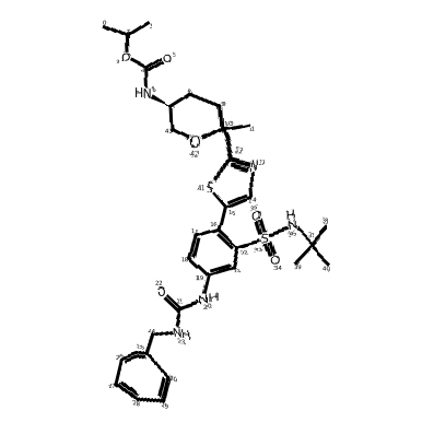 CC(C)OC(=O)N[C@H]1CCC(C)(c2ncc(-c3ccc(NC(=O)NCc4ccccc4)cc3S(=O)(=O)NC(C)(C)C)s2)OC1